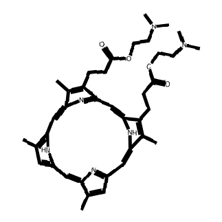 CC1=Cc2cc3[nH]c(cc4nc(cc5[nH]c(cc1n2)cc5C)C(C)=C4CCC(=O)OCCN(C)C)c(CCC(=O)OCCN(C)C)c3C